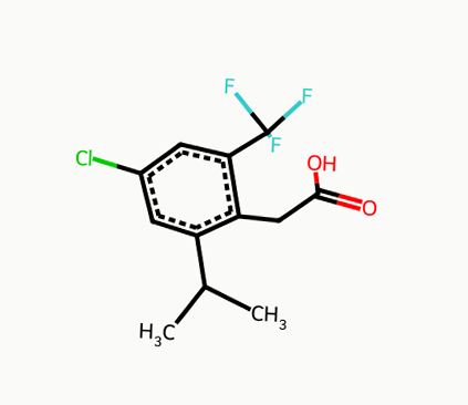 CC(C)c1cc(Cl)cc(C(F)(F)F)c1CC(=O)O